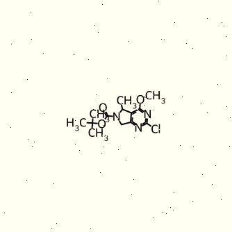 COc1nc(Cl)nc2c1C(C)N(C(=O)OC(C)(C)C)C2